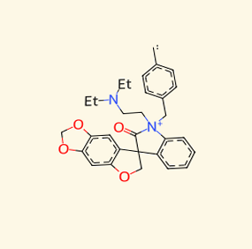 [CH]c1ccc(C[N+]2(CCN(CC)CC)C(=O)C3(COc4cc5c(cc43)OCO5)c3ccccc32)cc1